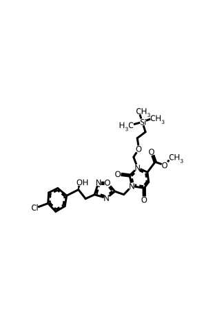 COC(=O)c1cc(=O)n(Cc2nc(C[C@H](O)c3ccc(Cl)cc3)no2)c(=O)n1COCC[Si](C)(C)C